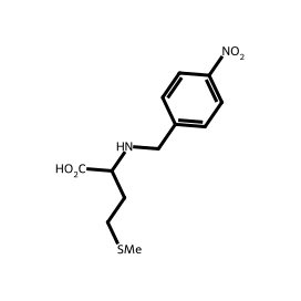 CSCCC(NCc1ccc([N+](=O)[O-])cc1)C(=O)O